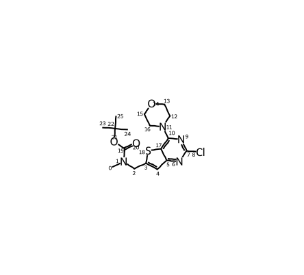 CN(Cc1cc2nc(Cl)nc(N3CCOCC3)c2s1)C(=O)OC(C)(C)C